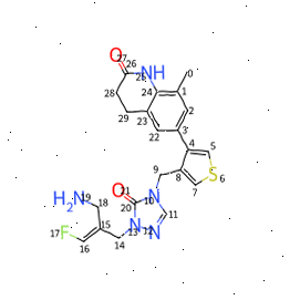 Cc1cc(-c2cscc2Cn2cnn(C/C(=C/F)CN)c2=O)cc2c1NC(=O)CC2